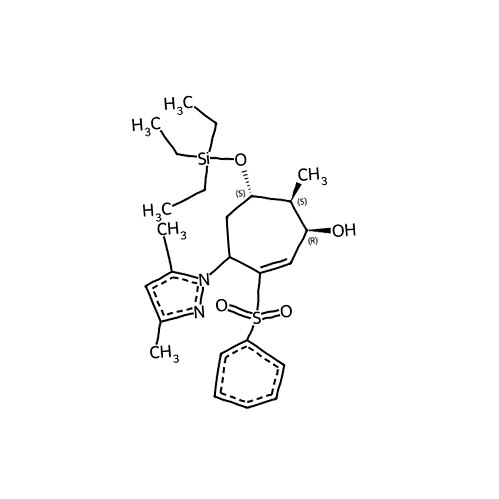 CC[Si](CC)(CC)O[C@H]1CC(n2nc(C)cc2C)C(S(=O)(=O)c2ccccc2)=C[C@H](O)[C@@H]1C